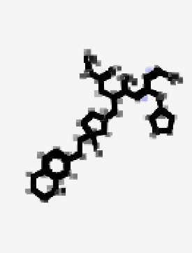 C=C(/C=C(\C=C/C)O[C@H]1CCOC1)[C@H](CC(=O)OC)CN1CC[C@@](F)(CCc2ccc3c(n2)NCCC3)C1